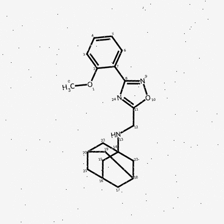 COc1ccccc1-c1noc(CNC23CC4CC(CC(C4)C2)C3)n1